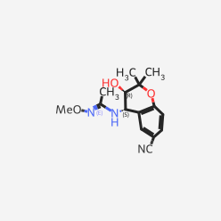 CO/N=C(\C)N[C@H]1c2cc(C#N)ccc2OC(C)(C)[C@@H]1O